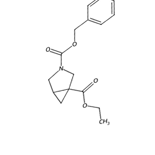 CCOC(=O)C12CC1CN(C(=O)OCc1ccccc1)C2